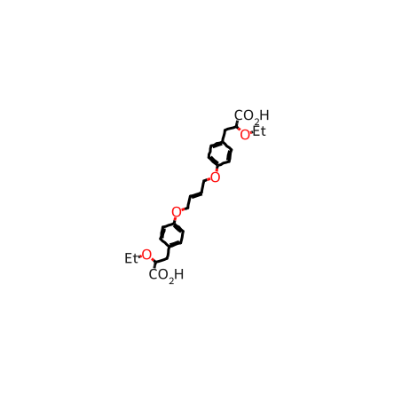 CCOC(Cc1ccc(OCC=CCOc2ccc(CC(OCC)C(=O)O)cc2)cc1)C(=O)O